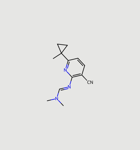 CN(C)C=Nc1nc(C2(C)CC2)ccc1C#N